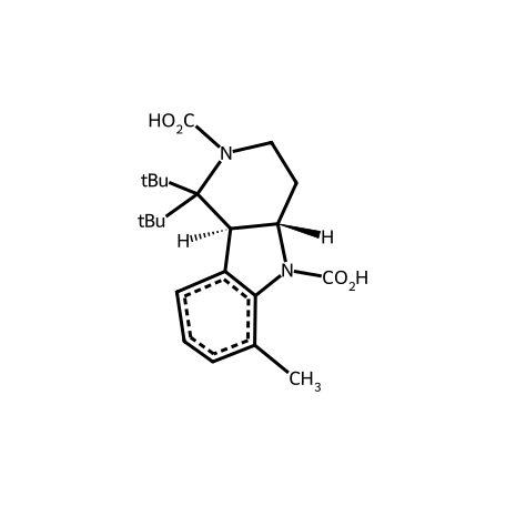 Cc1cccc2c1N(C(=O)O)[C@H]1CCN(C(=O)O)C(C(C)(C)C)(C(C)(C)C)[C@H]21